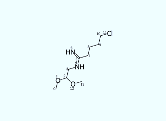 COC(CNC(=N)CCCCCl)OC